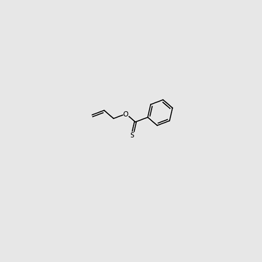 C=CCOC(=S)c1ccccc1